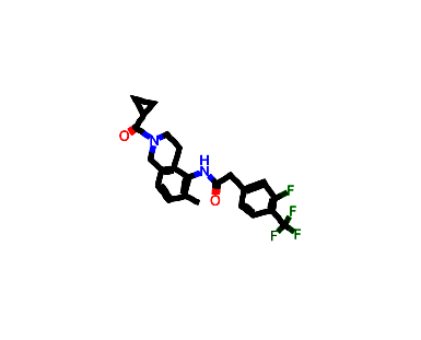 Cc1ccc2c(c1NC(=O)Cc1ccc(C(F)(F)F)c(F)c1)CCN(C(=O)C1CC1)C2